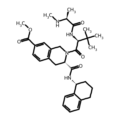 CN[C@@H](C)C(=O)N[C@H](C(=O)N1Cc2cc(C(=O)OC)ccc2C[C@H]1C(=O)N[C@@H]1CCCc2ccccc21)C(C)(C)C